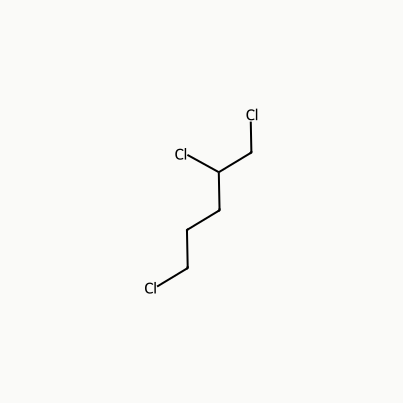 ClCCCC(Cl)CCl